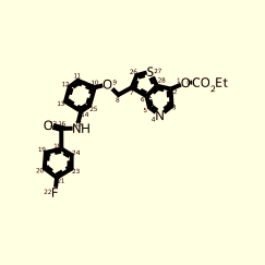 CCOC(=O)Oc1cncc2c(COc3cccc(NC(=O)c4ccc(F)cc4)c3)csc12